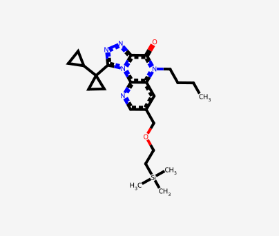 CCCCn1c(=O)c2nnc(C3(C4CC4)CC3)n2c2ncc(COCC[Si](C)(C)C)cc21